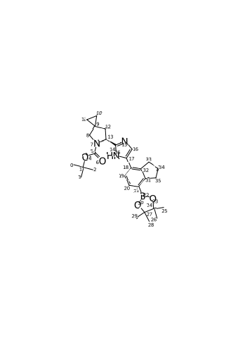 CC(C)(C)OC(=O)N1CC2(CC2)C[C@H]1c1ncc(-c2ccc(B3OC(C)(C)C(C)(C)O3)c3c2CCC3)[nH]1